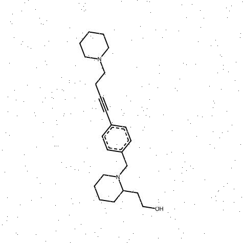 OCCC1CCCCN1Cc1ccc(C#CCCN2CCCCC2)cc1